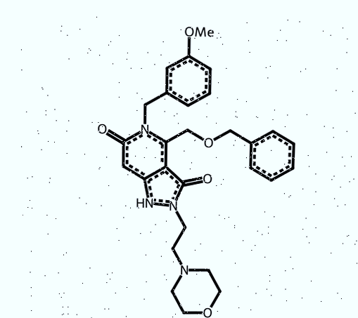 COc1cccc(Cn2c(COCc3ccccc3)c3c(=O)n(CCN4CCOCC4)[nH]c3cc2=O)c1